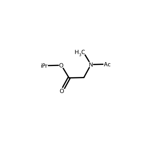 CC(=O)N(C)CC(=O)OC(C)C